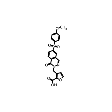 COc1ccc(S(=O)(=O)c2ccc3c(=O)n(Cc4ccoc4C(=O)O)ncc3c2)cc1